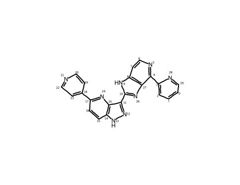 c1ccc(-c2nccc3[nH]c(-c4n[nH]c5ccc(-c6ccncc6)nc45)nc23)nc1